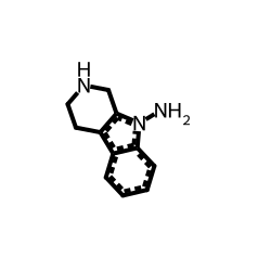 Nn1c2c(c3ccccc31)CCNC2